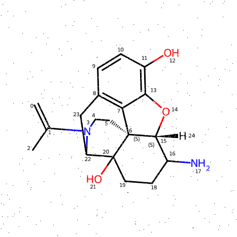 C=C(C)N1CC[C@]23c4c5ccc(O)c4O[C@@H]2C(N)CCC3(O)C1C5